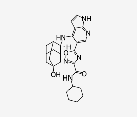 O=C(NC1CCCCC1)c1noc(-c2cnc3[nH]ccc3c2N[C@H]2C3CC4CC2C[C@@](O)(C4)C3)n1